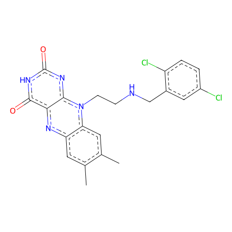 Cc1cc2nc3c(=O)[nH]c(=O)nc-3n(CCNCc3cc(Cl)ccc3Cl)c2cc1C